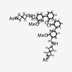 COc1nc(-c2cccc(-c3cccc(-c4ccc(CNC5CC6(C5)CN(C(C)=O)C6)c(OC)n4)c3Cl)c2Cl)ccc1CNC1CC2(C1)CN(C(C)=O)C2